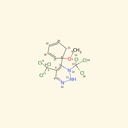 COC1(C2=C(C(Cl)(Cl)Cl)C=NNN2C(Cl)(Cl)Cl)C=CC=CC1